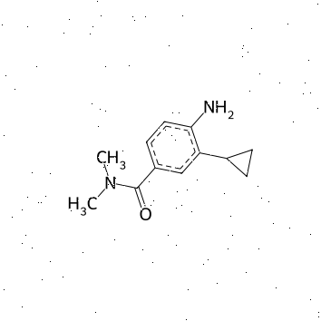 CN(C)C(=O)c1ccc(N)c(C2CC2)c1